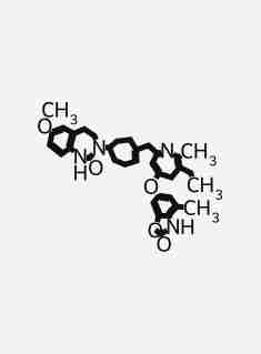 CCC1=C(C)N=C(CC2=CCCC(N3CCc4cc(OC)ccc4NC3=O)CC2)C=C(Oc2cc(C)c3[nH]c(=O)oc3c2)C1